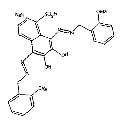 COc1ccccc1CN=Nc1c(O)c(O)c(N=NCc2ccccc2OC)c2c(S(=O)(=O)O)cccc12.[NaH]